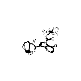 CC(C)(C)OC(=O)n1cc(C(=O)NC2CCOCC2O)c2nccc(Cl)c21